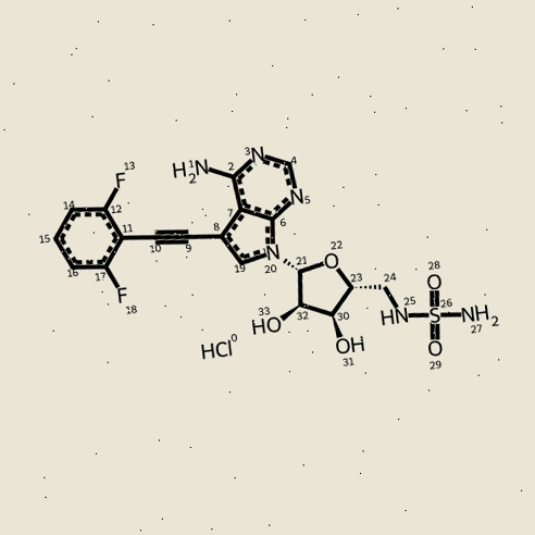 Cl.Nc1ncnc2c1c(C#Cc1c(F)cccc1F)cn2[C@@H]1O[C@H](CNS(N)(=O)=O)[C@@H](O)[C@H]1O